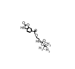 CC(C)(C)OC(=O)NCCOCC(=O)c1ccc2[nH]c(=O)oc2c1